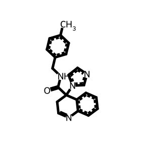 Cc1ccc(CNC(=O)C2(n3ccnc3)CC=Nc3ccccc32)cc1